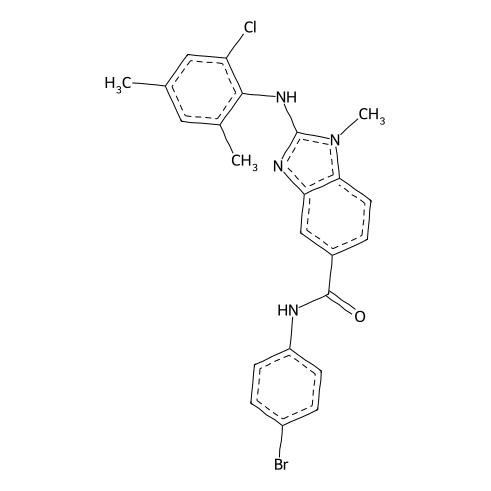 Cc1cc(C)c(Nc2nc3cc(C(=O)Nc4ccc(Br)cc4)ccc3n2C)c(Cl)c1